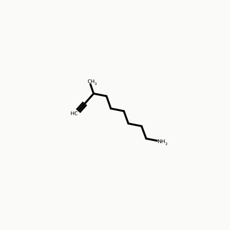 C#CC(C)CCCCCCN